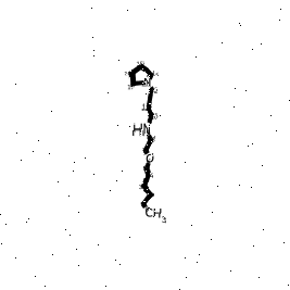 CCCCCCOCCNCCCN1CCCC1